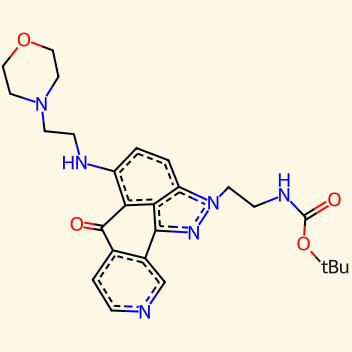 CC(C)(C)OC(=O)NCCn1nc2c3c(c(NCCN4CCOCC4)ccc31)C(=O)c1ccncc1-2